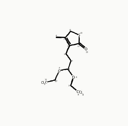 CC1=C(CCC(OCC(Cl)(Cl)Cl)OCC(Cl)(Cl)Cl)C(=O)SC1